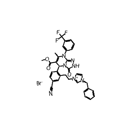 COC(=O)C1=C(C)N(c2cccc(C(F)(F)F)c2)c2n[nH]c(=O)n2C1c1ccc(C#N)cc1CC[n+]1ccn(Cc2ccccc2)c1.[Br-]